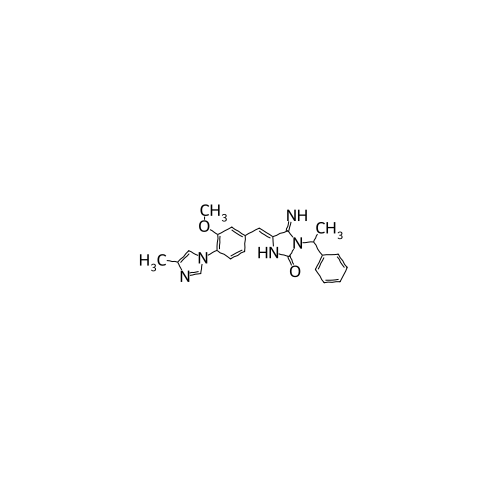 COc1cc(/C=C2\NC(=O)N(C(C)c3ccccc3)C2=N)ccc1-n1cnc(C)c1